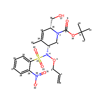 C=CCON([C@H]1CN(C(=O)OC(C)(C)C)[C@@H](CO)C=C1C)S(=O)(=O)c1ccccc1[N+](=O)[O-]